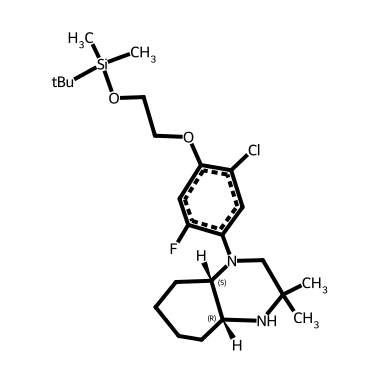 CC1(C)CN(c2cc(Cl)c(OCCO[Si](C)(C)C(C)(C)C)cc2F)[C@H]2CCCC[C@H]2N1